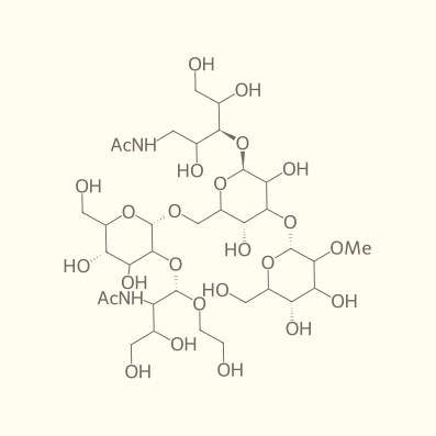 COC1C(O)[C@H](O)C(CO)O[C@@H]1OC1C(O)[C@H](O[C@H](C(O)CO)C(O)CNC(C)=O)OC(CO[C@H]2OC(CO)[C@@H](O)C(O)C2O[C@H](OCCO)C(NC(C)=O)C(O)CO)[C@H]1O